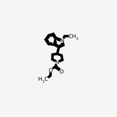 CCOC(=O)N1CCC(c2cn(CC)c3ccccc23)CC1